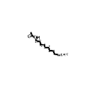 C1CO1.CCCCCCCCCCCCCCCCCO